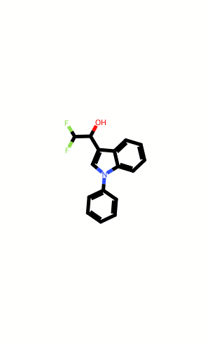 OC(c1cn(-c2ccccc2)c2ccccc12)C(F)F